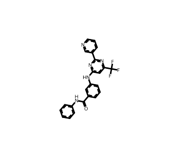 O=C(Nc1ccccc1)c1cccc(Nc2cc(C(F)(F)F)nc(-c3cccnc3)n2)c1